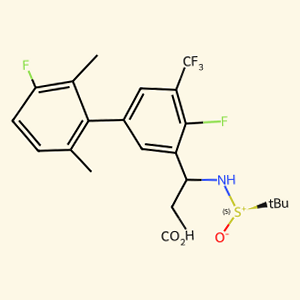 Cc1ccc(F)c(C)c1-c1cc(C(CC(=O)O)N[S@+]([O-])C(C)(C)C)c(F)c(C(F)(F)F)c1